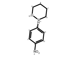 O=[N+]([O-])c1ccc([SiH]2CCCCO2)cc1